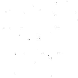 CONC(=O)c1cc2[nH]cnc2c(F)c1Nc1ccc(C)cc1C